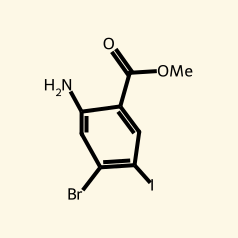 COC(=O)c1cc(I)c(Br)cc1N